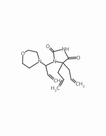 C=CCC1(CC=C)C(=O)NC(=O)N1C(C=C)N1CCOCC1